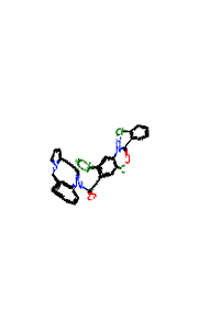 O=C(Nc1cc(Cl)c(C(=O)N2Cc3cccn3Cc3ccccc32)cc1Cl)c1ccccc1Cl